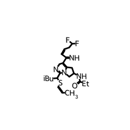 C/C=C\SC(C1=NCC(C(=N)/C=C\CC(F)F)=C2CC(NC(=O)CC)CN12)C(C)CC